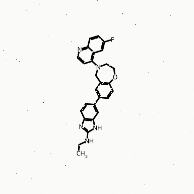 CCNc1nc2ccc(-c3ccc4c(c3)CN(c3ccnc5ccc(F)cc35)CCO4)cc2[nH]1